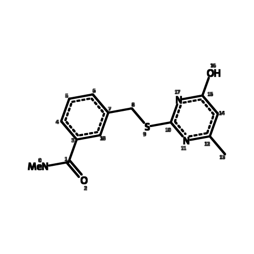 CNC(=O)c1cccc(CSc2nc(C)cc(O)n2)c1